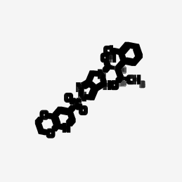 C[C@H](O)[C@@H](c1ccccc1Cl)C(O)N1Cc2cn(S(=O)(=O)c3cnc4c(c3)OCCO4)nc2C1